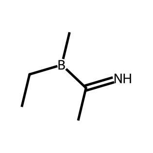 CCB(C)C(C)=N